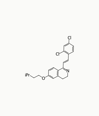 CC(C)CCOc1ccc2c(c1)CCN=C2C=Cc1ccc(Cl)cc1Cl